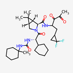 CC(=O)C(=O)C(CC1CC1(F)F)NC(=O)[C@@H]1[C@@H]2[C@H](CN1C(=O)[C@@H](NC(=O)NC1(C)CCCCC1)C1CCCCC1)C2(C)C